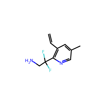 C=Cc1cc(C)cnc1C(F)(F)CN